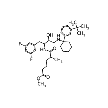 COC(=O)CCCC(C)C(=O)NC(Cc1cc(F)cc(F)c1)C(O)CNC1(c2cccc(C(C)(C)C)c2)CCCCC1